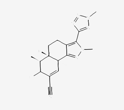 C[C@@H]1C(O)C(C#N)=C[C@]2(C)c3nn(C)c(-c4nnn(C)n4)c3CC[C@@H]12